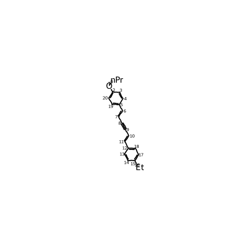 CCCOc1ccc(/C=C/C#C/C=C/c2ccc(CC)cc2)cc1